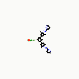 Cc1cc(-c2cc(Br)cc(-c3cc(C)c(N=Cc4ccccn4)c(C)c3)c2C)cc(C)c1N=Cc1ccccn1.Cl.Cl.Cl.Cl.[Cu].[Cu]